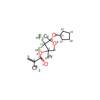 C=C(C(=O)OC1(C(C)C)COC(OC2CCCC2)(C(F)(F)F)C1(F)F)C(F)(F)F